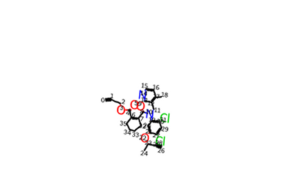 C#CCOC(=O)C1=C(C(=O)N(Cc2cnccc2C)c2cc(OC(C)C#C)c(Cl)cc2Cl)CCCC1